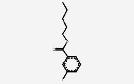 CCCCCOC(=O)c1cccc(I)c1